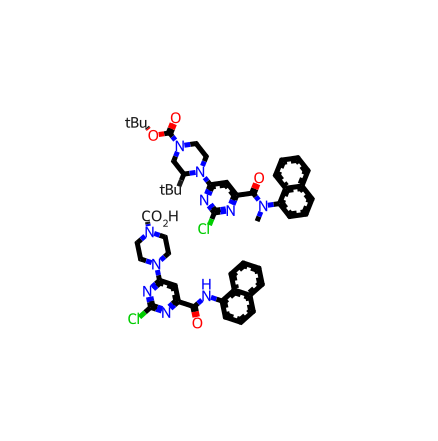 CN(C(=O)c1cc(N2CCN(C(=O)OC(C)(C)C)CC2C(C)(C)C)nc(Cl)n1)c1cccc2ccccc12.O=C(Nc1cccc2ccccc12)c1cc(N2CCN(C(=O)O)CC2)nc(Cl)n1